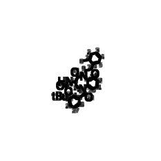 Cc1ccccc1C(=O)CN1C(=O)C(NC(=O)OC(C)(C)C)CN(C(=O)c2ccccc2)c2ccccc21